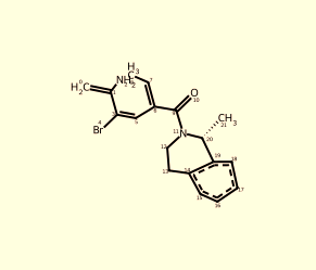 C=C(N)/C(Br)=C\C(=C/C)C(=O)N1CCc2ccccc2[C@H]1C